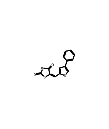 O=C1NC(=S)SC1=Cc1cc(-c2ccccc2)cs1